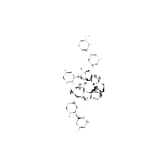 c1ccc(-c2cccc(-c3nc(-c4ccccc4-c4nc(-c5cccc(-c6ccccc6)c5)c5sc6ccccc6c5n4)nc4c3sc3ccccc34)c2)cc1